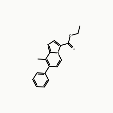 CCOC(=O)c1cnc2c(C)c(-c3ccccc3)ccn12